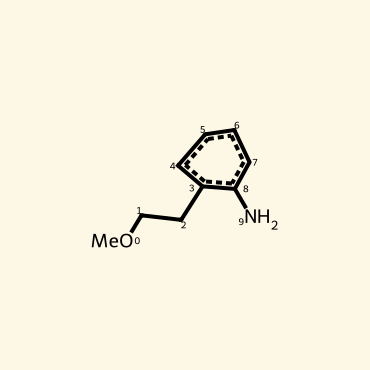 COCCc1ccccc1N